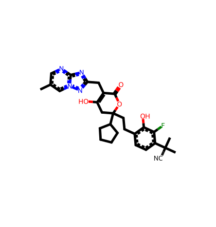 Cc1cnc2nc(CC3=C(O)CC(CCc4ccc(C(C)(C)C#N)c(F)c4O)(C4CCCC4)OC3=O)nn2c1